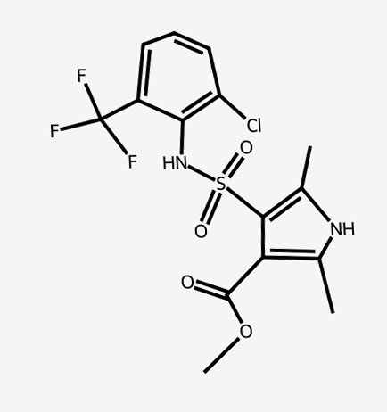 COC(=O)c1c(C)[nH]c(C)c1S(=O)(=O)Nc1c(Cl)cccc1C(F)(F)F